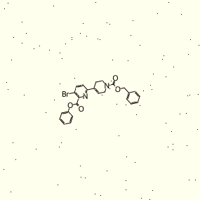 O=C(Oc1ccccc1)c1nc(C2=CCN(C(=O)OCc3ccccc3)CC2)ccc1Br